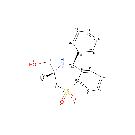 C[C@]1(CO)CS(=O)(=O)c2ccccc2[C@H](c2ccccc2)N1